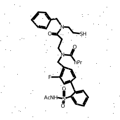 CCCC(=O)N(CCC(=O)N(CCS)Cc1ccccc1)Cc1ccc(-c2ccccc2S(=O)(=O)NC(C)=O)cc1F